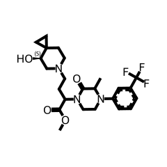 COC(=O)C(CCN1CCC2(CC2)[C@H](O)C1)N1CCN(c2cccc(C(F)(F)F)c2)C(C)C1=O